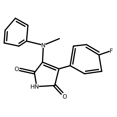 CN(C1=C(c2ccc(F)cc2)C(=O)NC1=O)c1ccccc1